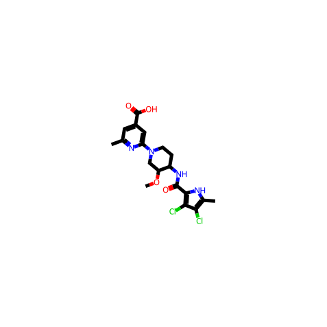 COC1CN(c2cc(C(=O)O)cc(C)n2)CCC1NC(=O)c1[nH]c(C)c(Cl)c1Cl